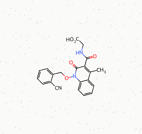 Cc1c(C(=O)NCC(=O)O)c(=O)n(OCc2ccccc2C#N)c2ccccc12